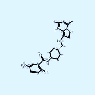 Cc1cc(C)n2ncc(NC[C@H]3CC[C@H](NC(=O)c4cc(C(F)(F)F)ccc4Cl)CC3)c2n1